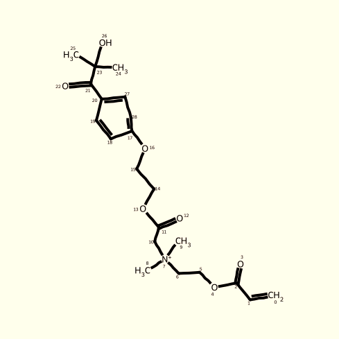 C=CC(=O)OCC[N+](C)(C)CC(=O)OCCOc1ccc(C(=O)C(C)(C)O)cc1